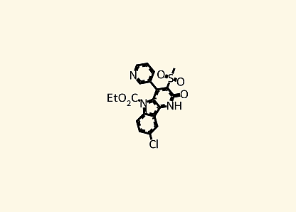 CCOC(=O)n1c2ccc(Cl)cc2c2[nH]c(=O)c(S(C)(=O)=O)c(-c3cccnc3)c21